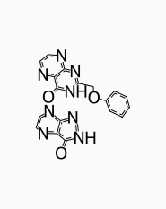 O=c1[nH]c(COc2ccccc2)nc2nccnc12.O=c1[nH]cnc2nccnc12